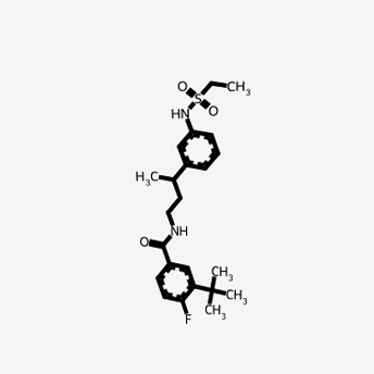 CCS(=O)(=O)Nc1cccc(C(C)CCNC(=O)c2ccc(F)c(C(C)(C)C)c2)c1